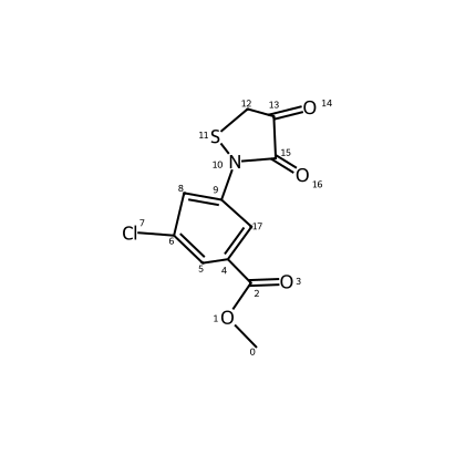 COC(=O)c1cc(Cl)cc(N2SCC(=O)C2=O)c1